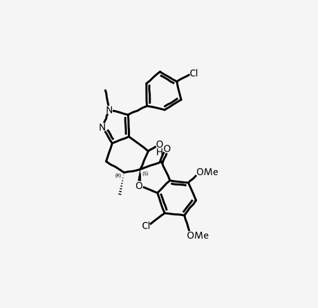 COc1cc(OC)c2c(c1Cl)O[C@]1(C2=O)C(O)c2c(nn(C)c2-c2ccc(Cl)cc2)C[C@H]1C